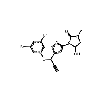 C#CC(Oc1cc(Br)cc(Br)c1)c1nnc(N2C(=O)N(C)CC2O)s1